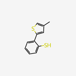 Cc1csc(-c2ccccc2S)c1